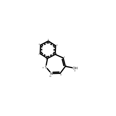 OC1=Cc2ccccc2SN=C1